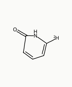 [2H]c1cccc(=O)[nH]1